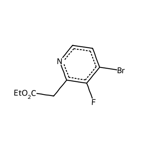 CCOC(=O)Cc1nccc(Br)c1F